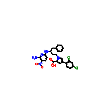 Nc1nc(NC(CCn2cc(-c3ccc(Cl)cc3Cl)cc2C(=O)O)Cc2ccccc2)ccc1[N+](=O)[O-]